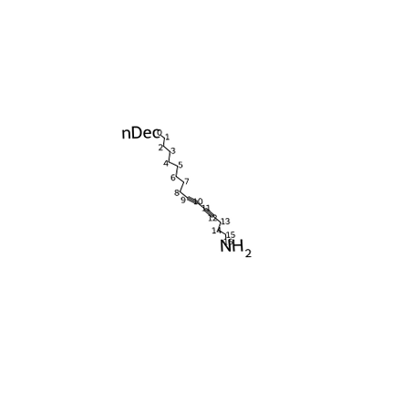 CCCCCCCCCCCCCCCCCCC#CC#CCCCN